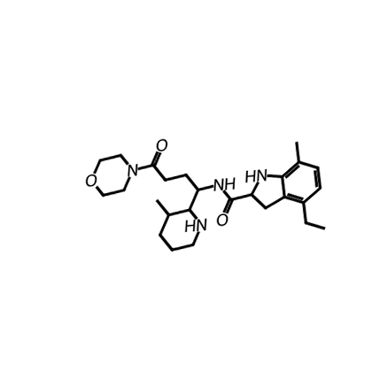 CCc1ccc(C)c2c1CC(C(=O)NC(CCC(=O)N1CCOCC1)C1NCCCC1C)N2